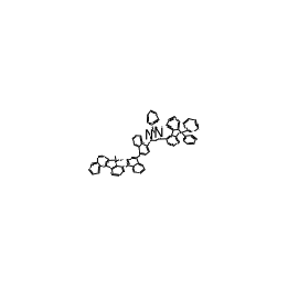 CC1(C)c2ccc3ccccc3c2-c2cccc(-c3ccc(-c4ccc(-c5cc(-c6cccc7c6-c6ccccc6C7(c6ccccc6)c6ccccc6)nc(-c6ccccc6)n5)c5ccccc45)c4ccccc34)c21